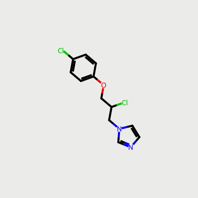 Clc1ccc(OCC(Cl)Cn2ccnc2)cc1